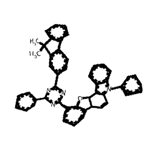 CC1(C)c2ccccc2-c2ccc(-c3nc(-c4ccccc4)nc(-c4cccc5c4OC4c6c(n(-c7ccccc7)c7ccccc67)C=CC54)n3)cc21